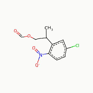 CC(COC=O)c1cc(Cl)ccc1[N+](=O)[O-]